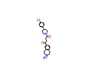 CC(C)N1CCc2ccc(C(=O)CCC(=O)N3CCC(c4ccc(Cl)cc4)CC3)cc2CC1